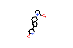 COCC1CCCN1C1CCc2cc(-c3ccc(OC)nc3)ccc2C1